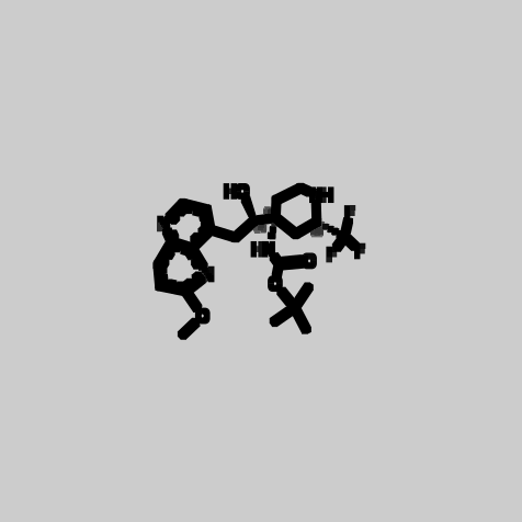 COc1ccc2nccc(C[C@@H](O)[C@@]3(NC(=O)OC(C)(C)C)CCN[C@H](C(F)(F)F)C3)c2n1